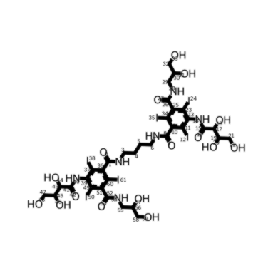 O=C(NCCCCNC(=O)c1c(I)c(NC(=O)C(O)C(O)CO)c(I)c(C(=O)NCC(O)CO)c1I)c1c(I)c(NC(=O)C(O)C(O)CO)c(I)c(C(=O)NCC(O)CO)c1I